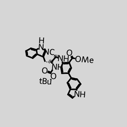 COC(=O)c1cc(-c2ccc3[nH]ccc3c2)ccc1N[C@@H](C#N)[C@@H](Cc1c[nH]c2ccccc12)NC(=O)OC(C)(C)C